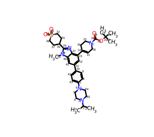 CC(C)N1CCN(c2ccc(-c3cc(C4=CCN(C(=O)OC(C)(C)C)CC4)c4nc(C5CCS(=O)(=O)CC5)n(C)c4c3)cc2)CC1